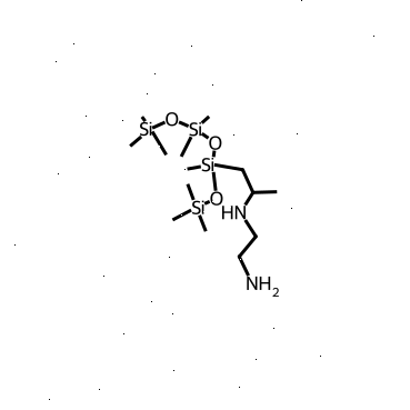 CC(C[Si](C)(O[Si](C)(C)C)O[Si](C)(C)O[Si](C)(C)C)NCCN